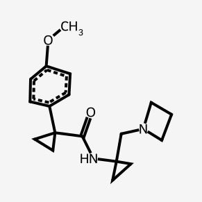 COc1ccc(C2(C(=O)NC3(CN4CCC4)CC3)CC2)cc1